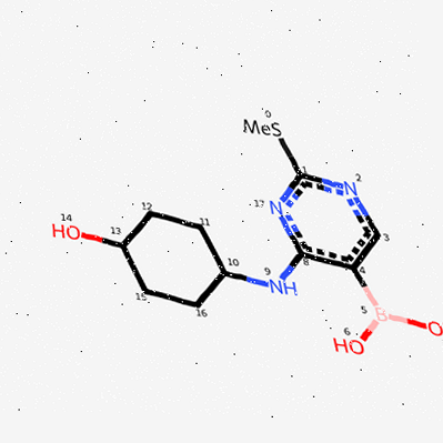 CSc1ncc(B(O)O)c(NC2CCC(O)CC2)n1